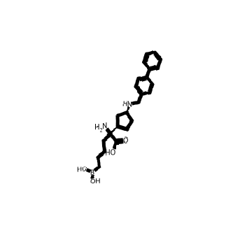 NC(CCCCB(O)O)(C(=O)O)[C@@H]1CC[C@H](NCc2ccc(-c3ccccc3)cc2)C1